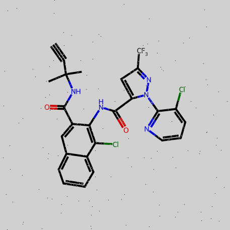 C#CC(C)(C)NC(=O)c1cc2ccccc2c(Cl)c1NC(=O)c1cc(C(F)(F)F)nn1-c1ncccc1Cl